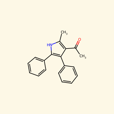 CC(=O)c1c(C)[nH]c(-c2ccccc2)c1-c1ccccc1